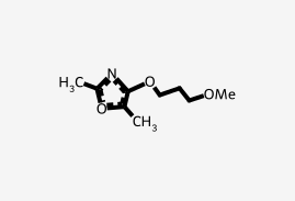 COCCCOc1nc(C)oc1C